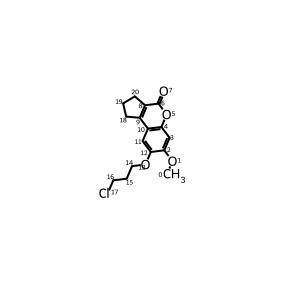 COc1cc2oc(=O)c3c(c2cc1OCCCCl)CCC3